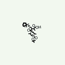 CC(C(=O)O)C(CSSc1ccccn1)C(=O)N1CC(C)N(C(=O)OC(C)(C)C)CC1C